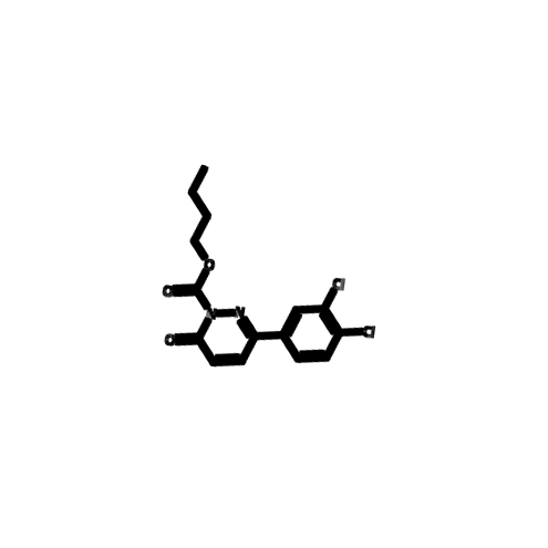 CCCCOC(=O)n1nc(-c2ccc(Cl)c(Cl)c2)ccc1=O